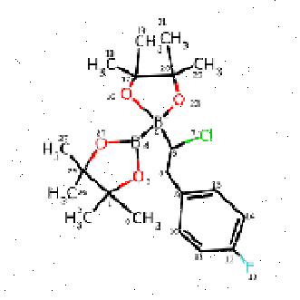 CC1(C)OB([B-]2(C(Cl)Cc3ccc(F)cc3)OC(C)(C)C(C)(C)O2)OC1(C)C